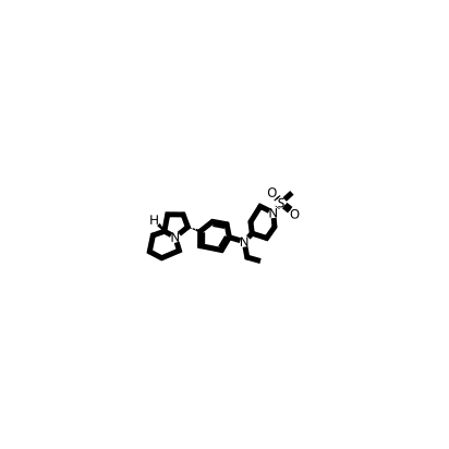 CCN(c1ccc([C@H]2CC[C@H]3CCCCN32)cc1)C1CCN(S(C)(=O)=O)CC1